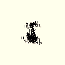 CCC(O)C(=O)NCCCN(CCCN(CCCNC(=O)CCCCO[C@@H]1OC(COC(C)=O)[C@H](OC(C)=O)[C@H](C)C1NC(C)=O)C(=O)CCCCO[C@@H]1OC(COC(C)=O)[C@H](OC(C)=O)[C@H](C)C1NC(C)=O)C(=O)CCCCO[C@@H]1OC(COC(C)=O)[C@H](OC(C)=O)[C@H](C)C1NC(C)=O